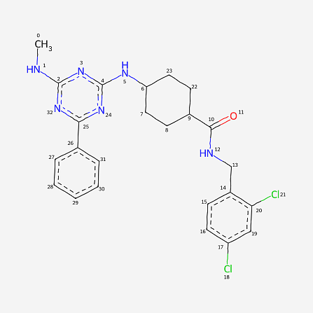 CNc1nc(NC2CCC(C(=O)NCc3ccc(Cl)cc3Cl)CC2)nc(-c2ccccc2)n1